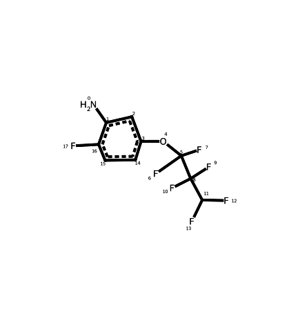 Nc1cc(OC(F)(F)C(F)(F)C(F)F)ccc1F